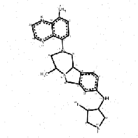 Cc1ccc(N2CC(C)N3Cc4cc(NC5CNCC5F)ccc4C3C2)c2nccnc12